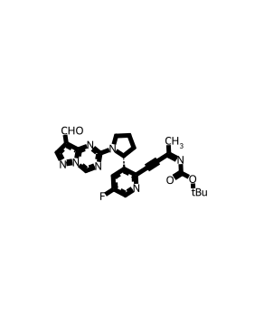 C/C(C#Cc1ncc(F)cc1[C@H]1CCCN1c1ncn2ncc(C=O)c2n1)=N/C(=O)OC(C)(C)C